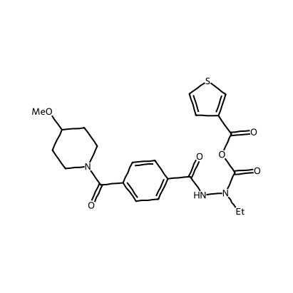 CCN(NC(=O)c1ccc(C(=O)N2CCC(OC)CC2)cc1)C(=O)OC(=O)c1ccsc1